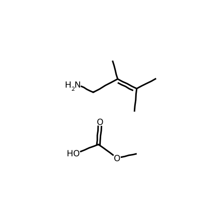 CC(C)=C(C)CN.COC(=O)O